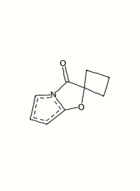 O=C1n2cccc2OC12CCC2